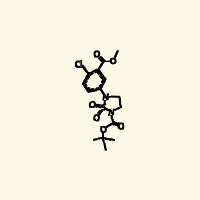 COC(=O)c1cc(N2CCN(C(=O)OC(C)(C)C)S2(=O)=O)ccc1Cl